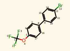 FC(F)(F)Oc1ccc(-c2ccc(Br)cc2)cc1